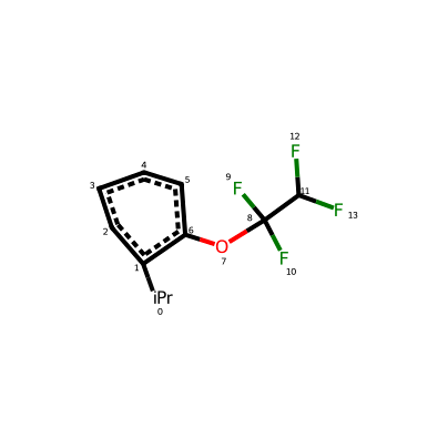 CC(C)c1ccccc1OC(F)(F)C(F)F